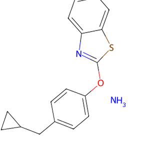 N.c1ccc2sc(Oc3ccc(CC4CC4)cc3)nc2c1